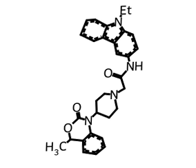 CCn1c2ccccc2c2cc(NC(=O)CN3CCC(N4C(=O)OC(C)c5ccccc54)CC3)ccc21